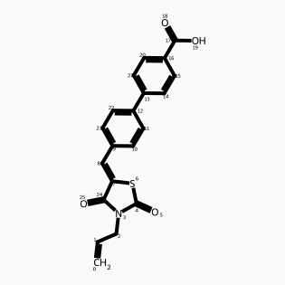 C=CCN1C(=O)S/C(=C\c2ccc(-c3ccc(C(=O)O)cc3)cc2)C1=O